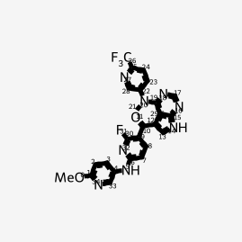 COc1ccc(Nc2ccc(C(=O)c3c[nH]c4ncnc(N(C)c5ccc(C(F)(F)F)nc5)c34)c(F)n2)cn1